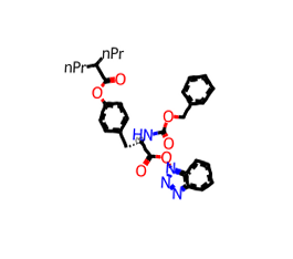 CCCC(CCC)C(=O)Oc1ccc(C[C@H](NC(=O)OCc2ccccc2)C(=O)On2nnc3ccccc32)cc1